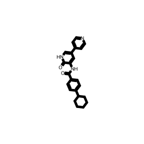 O=C(Nc1cc(-c2ccncc2)c[nH]c1=O)c1ccc(C2CCCCC2)cc1